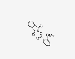 COc1ccccc1C(=O)ON1C(=O)c2ccccc2C1=O